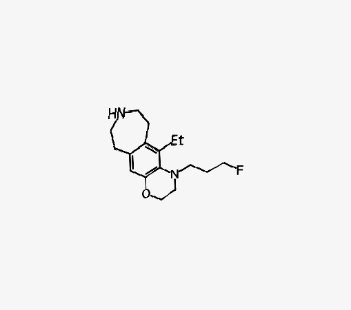 CCc1c2c(cc3c1N(CCCF)CCO3)CCNCC2